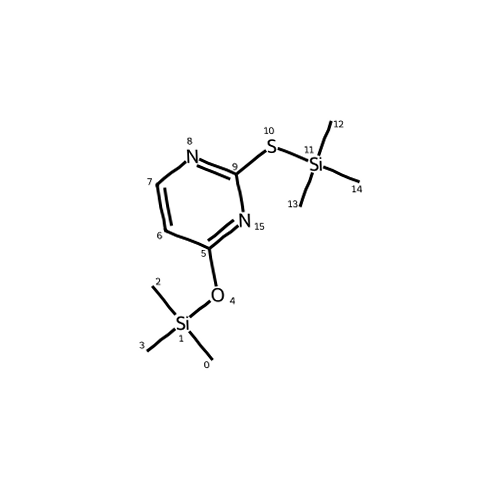 C[Si](C)(C)Oc1ccnc(S[Si](C)(C)C)n1